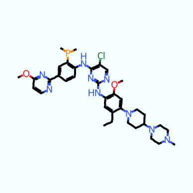 CCc1cc(Nc2ncc(Cl)c(Nc3ccc(-c4nccc(OC)n4)cc3P(C)C)n2)c(OC)cc1N1CCC(N2CCN(C)CC2)CC1